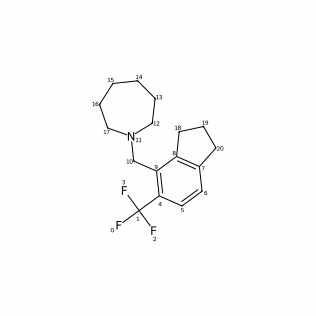 FC(F)(F)c1ccc2c(c1CN1CCCCCC1)CCC2